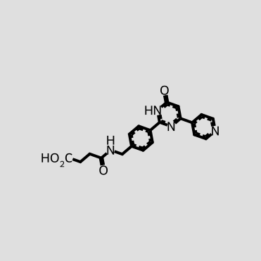 O=C(O)CCC(=O)NCc1ccc(-c2nc(-c3ccncc3)cc(=O)[nH]2)cc1